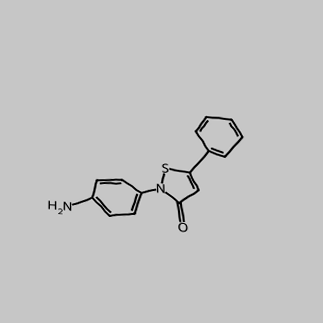 Nc1ccc(-n2sc(-c3ccccc3)cc2=O)cc1